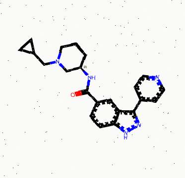 O=C(N[C@@H]1CCCN(CC2CC2)C1)c1ccc2[nH]nc(-c3ccncc3)c2c1